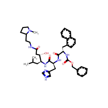 CC(C)C[C@H](NC(=O)[C@H](Cc1c[nH]cn1)NC(=O)[C@H](Cc1cccc2ccccc12)NC(=O)OCc1ccccc1)[C@@H](O)CC(=O)NCCC1CCCN1C